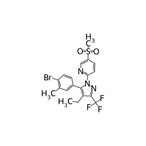 CCc1c(C(F)(F)F)nn(-c2ccc(S(C)(=O)=O)cn2)c1-c1ccc(Br)c(C)c1